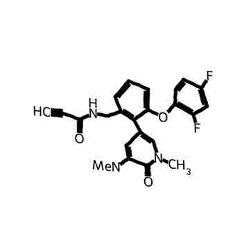 C#CC(=O)NCc1cccc(Oc2ccc(F)cc2F)c1-c1cc(NC)c(=O)n(C)c1